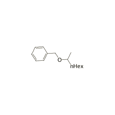 [CH2]CCCCCC(C)OCc1ccccc1